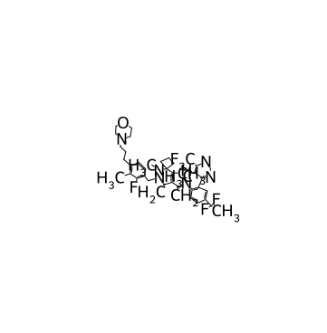 C=C(Nc1ccc(C(C)(F)F)cc1-c1ncnc(C(F)(F)F)c1C)C1=C(C)C2(CCC2)N(C)N(Cc2ccc(CCCN3CCOCC3)c(C)c2F)C1=C